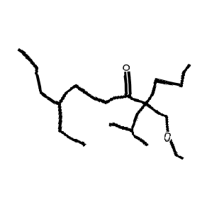 CCCC(CC)CCC(=O)C(CCC)(COC)C(C)C